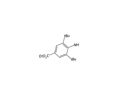 CCOC(=O)c1cc(C(C)(C)C)c([NH])c(C(C)(C)C)c1